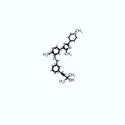 Cc1nc(C2CCN(C)CC2)sc1-c1cnc(N)c(OCc2cccc(C#CC(C)(C)O)c2)c1